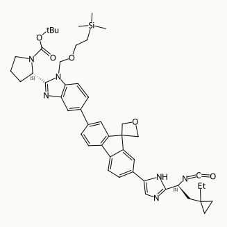 CCC1(C[C@H](N=C=O)c2ncc(-c3ccc4c(c3)C3(COC3)c3cc(-c5ccc6c(c5)nc([C@@H]5CCCN5C(=O)OC(C)(C)C)n6COCC[Si](C)(C)C)ccc3-4)[nH]2)CC1